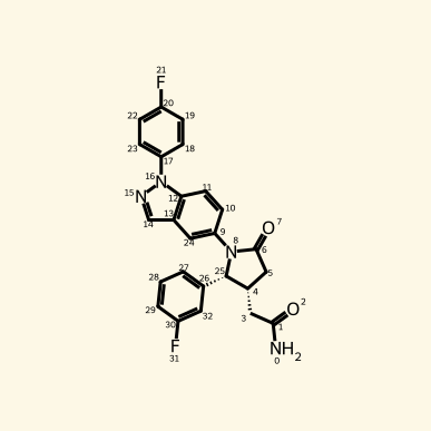 NC(=O)C[C@H]1CC(=O)N(c2ccc3c(cnn3-c3ccc(F)cc3)c2)[C@H]1c1cccc(F)c1